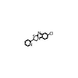 Clc1ccc2c(c1)nc1n2CC(c2ccccn2)S1